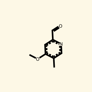 COc1cc(C=O)ncc1C